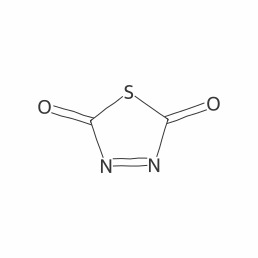 O=C1N=NC(=O)S1